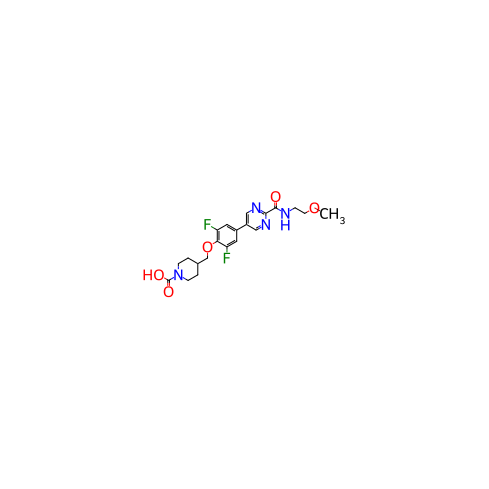 COCCNC(=O)c1ncc(-c2cc(F)c(OCC3CCN(C(=O)O)CC3)c(F)c2)cn1